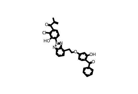 C=C(C)C(=O)c1ccc(-n2nc3cccc(CCOc4ccc(C(=O)c5ccccc5)c(O)c4)c3n2)c(O)c1Cl